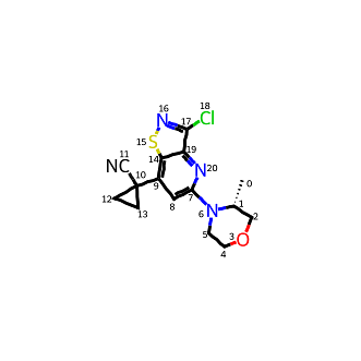 C[C@@H]1COCCN1c1cc(C2(C#N)CC2)c2snc(Cl)c2n1